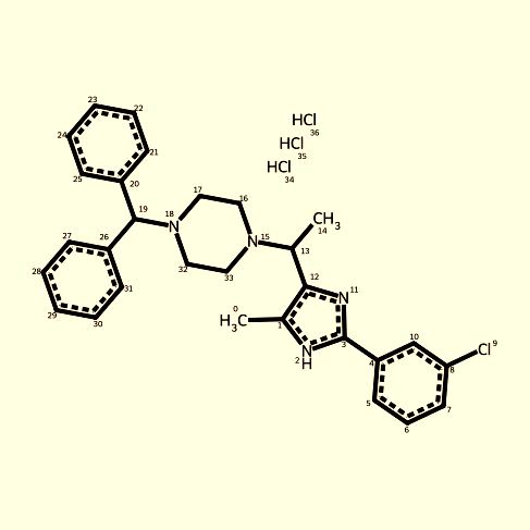 Cc1[nH]c(-c2cccc(Cl)c2)nc1C(C)N1CCN(C(c2ccccc2)c2ccccc2)CC1.Cl.Cl.Cl